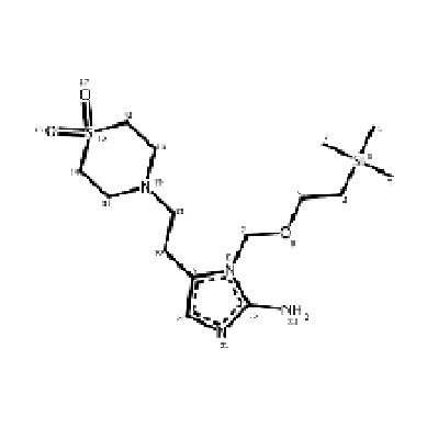 C[Si](C)(C)CCOCn1c(CCN2CCS(=O)(=O)CC2)cnc1N